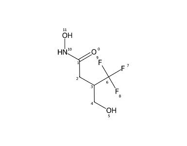 O=C(CC(CO)C(F)(F)F)NO